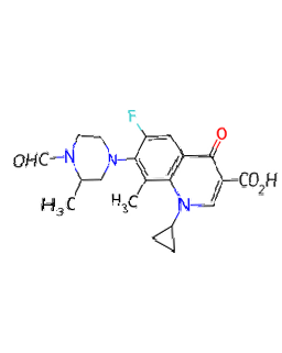 Cc1c(N2CCN(C=O)C(C)C2)c(F)cc2c(=O)c(C(=O)O)cn(C3CC3)c12